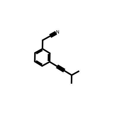 CC(C)C#Cc1cccc(CC#N)c1